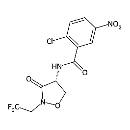 O=C(N[C@@H]1CON(CC(F)(F)F)C1=O)c1cc([N+](=O)[O-])ccc1Cl